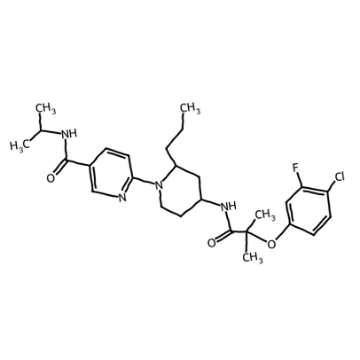 CCCC1CC(NC(=O)C(C)(C)Oc2ccc(Cl)c(F)c2)CCN1c1ccc(C(=O)NC(C)C)cn1